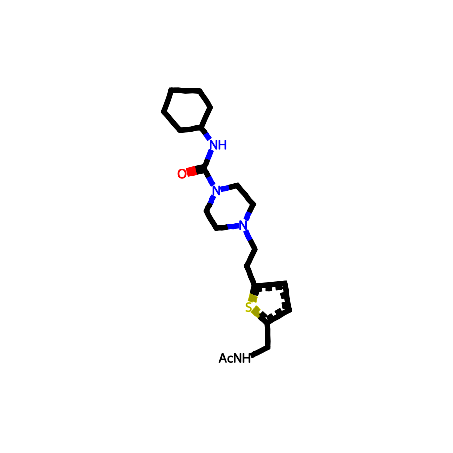 CC(=O)NCc1ccc(CCN2CCN(C(=O)NC3CCCCC3)CC2)s1